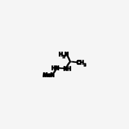 CNNNC(C)N